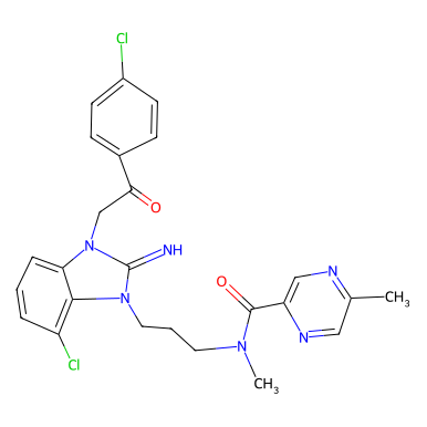 Cc1cnc(C(=O)N(C)CCCn2c(=N)n(CC(=O)c3ccc(Cl)cc3)c3cccc(Cl)c32)cn1